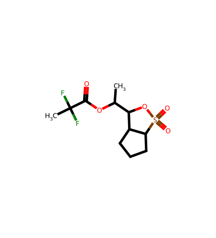 CC(OC(=O)C(C)(F)F)C1OS(=O)(=O)C2CCCC12